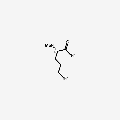 CN[C@@H](CCCC(C)C)C(=O)C(C)C